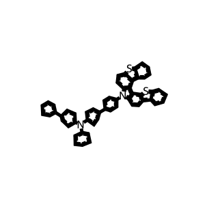 c1ccc(-c2ccc(N(c3ccccc3)c3ccc(-c4ccc(-n5c6ccc7c8ccccc8sc7c6c6c7c(ccc65)sc5ccccc57)cc4)cc3)cc2)cc1